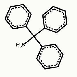 BC(c1ccccc1)(c1ccccc1)c1ccccc1